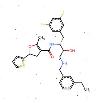 CCc1cccc(CNC[C@H](O)[C@@H](Cc2cc(F)cc(F)c2)NC(=O)C2=C(C)OC(c3cccs3)C2)c1